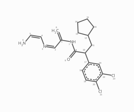 C=C(/C=N\C=C/N)NC(=O)C(CC1CCCC1)c1ccc(Cl)c(Cl)c1